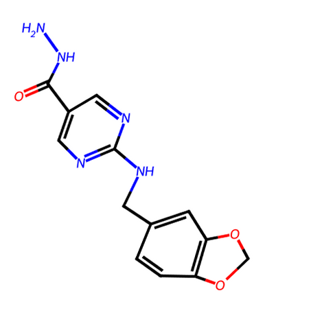 NNC(=O)c1cnc(NCc2ccc3c(c2)OCO3)nc1